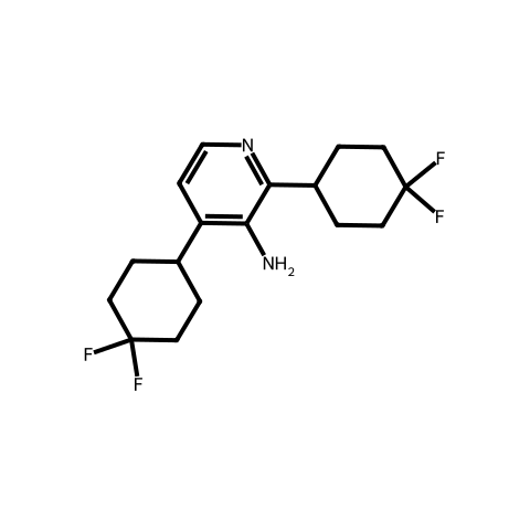 Nc1c(C2CCC(F)(F)CC2)ccnc1C1CCC(F)(F)CC1